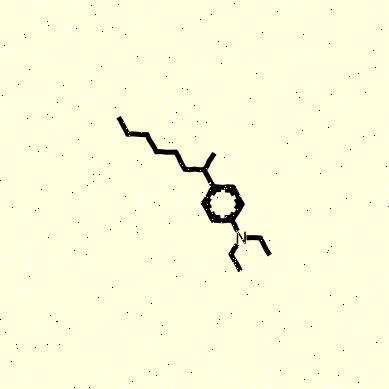 CCCCCCC(C)c1ccc(N(CC)CC)cc1